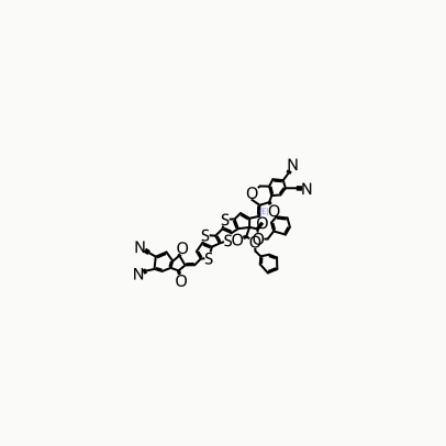 N#Cc1cc2c(cc1C#N)C(=O)/C(=C/C1=Cc3sc4c(sc5c6sc(C=C7C(=O)c8cc(C#N)c(C#N)cc8C7=O)cc6sc45)c3C1(C(=O)OCc1ccccc1)C(=O)OCc1ccccc1)COC2